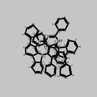 c1ccc(C2=NC(n3c4ccccc4c4ccc5c6ccccc6n(-c6c(-c7ccccc7)cc7c8ccccc8n(-c8ccccc8)c7c6-c6ccccc6)c5c43)NC(c3ccccc3)N2)cc1